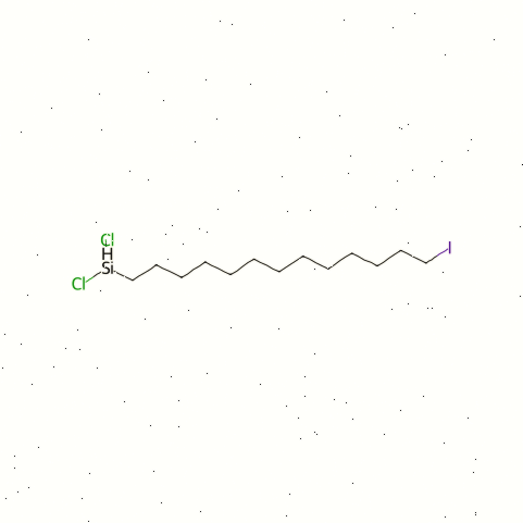 Cl[SiH](Cl)CCCCCCCCCCCCCI